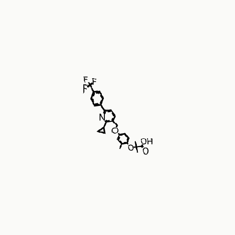 Cc1cc(OCc2ccc(-c3ccc(C(F)(F)F)cc3)nc2C2CC2)ccc1OC(C)(C)C(=O)O